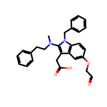 CN(CCc1ccccc1)c1c(CC(=O)O)c2cc(OCC=O)ccc2n1Cc1ccccc1